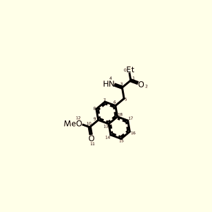 CCC(=O)C(=N)Cc1ccc(C(=O)OC)c2ccccc12